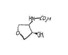 O=C(O)N[C@@H]1COC[C@@H]1O